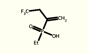 C=C(CC(F)(F)F)P(=O)(O)CC